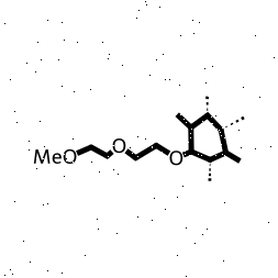 COCCOCCOC1C(C)[C@H](C)[C@H](C)C(C)[C@@H]1C